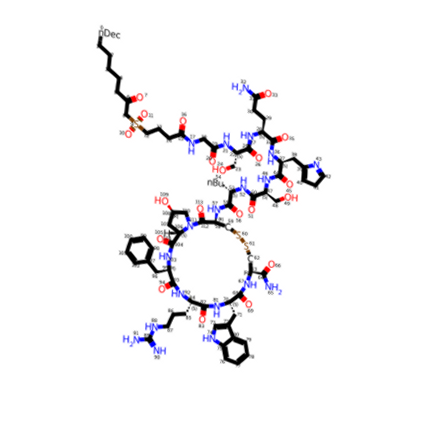 CCCCCCCCCCCCCCCC(=O)CS(=O)(=O)CCCC(=O)NCC(=O)N[C@@H](CO)C(=O)N[C@@H](CCC(N)=O)C(=O)N[C@@H](CC1=CCC=N1)C(=O)N[C@@H](CO)C(=O)N[C@@H](CCCC)C(=O)N[C@H]1CSSC[C@@H](C(N)=O)NC(=O)[C@H](Cc2c[nH]c3ccccc23)NC(=O)[C@H](CCCNC(=N)N)NC(=O)[C@@H](Cc2ccccc2)NC(=O)[C@@H]2C[C@@H](O)CN2C1=O